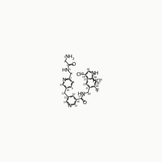 Cl.NCC(=O)NCc1ccc(Cc2cncc(C(=O)NCc3cc4c(Cl)c[nH]c4cc3F)c2)cn1